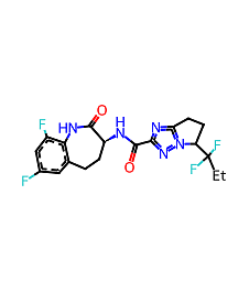 CCC(F)(F)C1CCc2nc(C(=O)N[C@H]3CCc4cc(F)cc(F)c4NC3=O)nn21